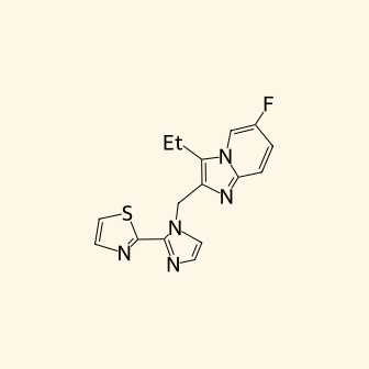 CCc1c(Cn2ccnc2-c2nccs2)nc2ccc(F)cn12